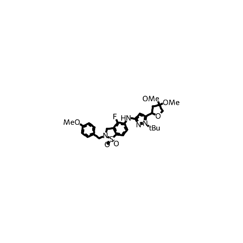 COc1ccc(CN2Cc3c(ccc(Nc4cc(C5CC(OC)(OC)CO5)n(C(C)(C)C)n4)c3F)S2(=O)=O)cc1